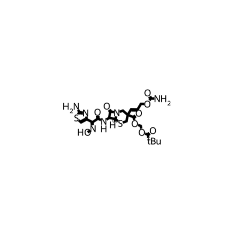 CC(C)(C)C(=O)OCOC(=O)C1(C=CCOC(N)=O)CS[C@@H]2C(NC(=O)C(=NO)c3csc(N)n3)C(=O)N2C1